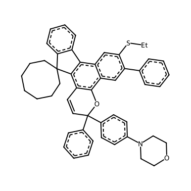 CCSc1cc2c3c(c4c(c2cc1-c1ccccc1)OC(c1ccccc1)(c1ccc(N2CCOCC2)cc1)C=C4)C1(CCCCCCC1)c1ccccc1-3